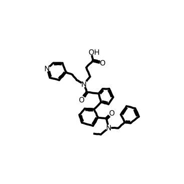 CCN(Cc1ccccc1)C(=O)c1ccccc1-c1ccccc1C(=O)N(CCC(=O)O)CCc1ccncc1